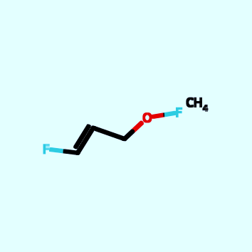 C.FC=CCOF